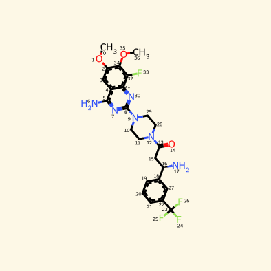 COc1cc2c(N)nc(N3CCN(C(=O)C[C@@H](N)c4cccc(C(F)(F)F)c4)CC3)nc2c(F)c1OC